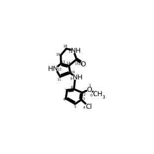 COc1c(Cl)cccc1Nc1c[nH]c2c1C(=O)NCC2